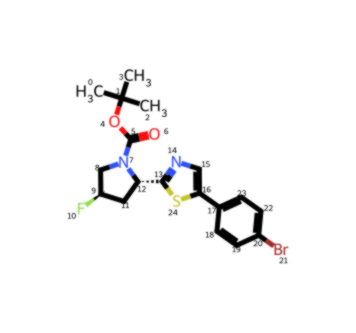 CC(C)(C)OC(=O)N1C[C@H](F)C[C@H]1c1ncc(-c2ccc(Br)cc2)s1